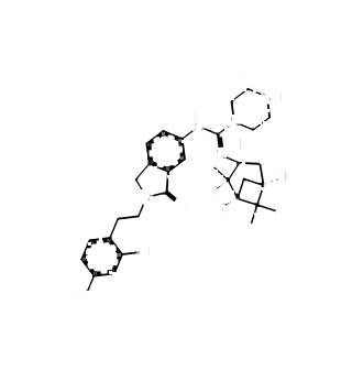 C[C@@H]1[C@@H](N=C(Nc2ccc3c(c2)C(=O)N(CCc2ccc(Cl)cc2Cl)C3)N2CCN[C@@H](C)C2)C[C@H]2C[C@@H]1C2(C)C